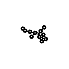 c1ccc(-c2ccc(N(c3ccc(-c4ccc(-c5ccc6ccccc6c5)cc4)c(-c4ccccc4)c3)c3ccc4c(c3)C3(c5ccccc5-c5ccccc53)c3ccccc3-4)cc2)cc1